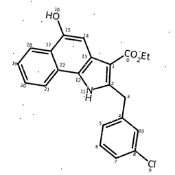 CCOC(=O)c1c(Cc2cccc(Cl)c2)[nH]c2c1cc(O)c1ccccc12